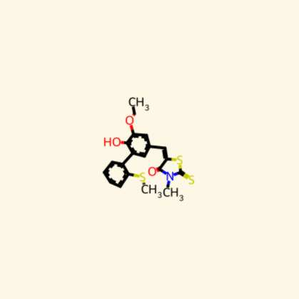 CCOc1cc(C=C2SC(=S)N(C)C2=O)cc(-c2ccccc2SC)c1O